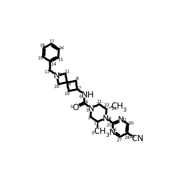 C[C@H]1CN(C(=O)NC2CC3(C2)CN(Cc2ccccc2)C3)C[C@H](C)N1c1ncc(C#N)cn1